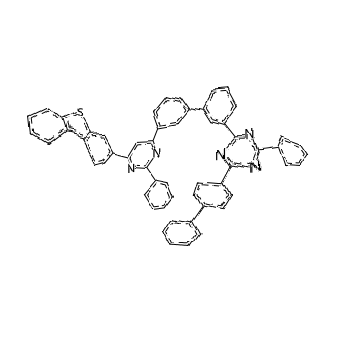 c1ccc(-c2ccc(-c3nc(-c4ccccc4)nc(-c4cccc(-c5cccc(-c6cc(-c7ccc8c(c7)sc7ccccc78)nc(-c7ccccc7)n6)c5)c4)n3)cc2)cc1